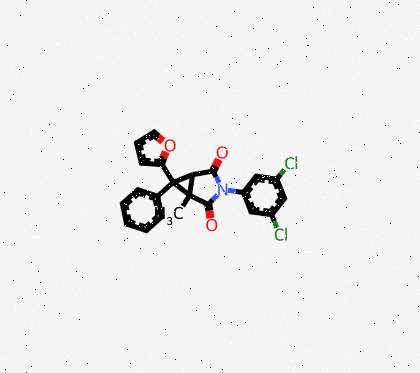 CC12C(=O)N(c3cc(Cl)cc(Cl)c3)C(=O)C1C2(c1ccccc1)c1ccco1